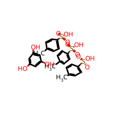 Cc1ccc(S(=O)(=O)O)cc1.Cc1ccc(S(=O)(=O)O)cc1.Cc1ccc(S(=O)(=O)O)cc1.Oc1cc(O)cc(O)c1